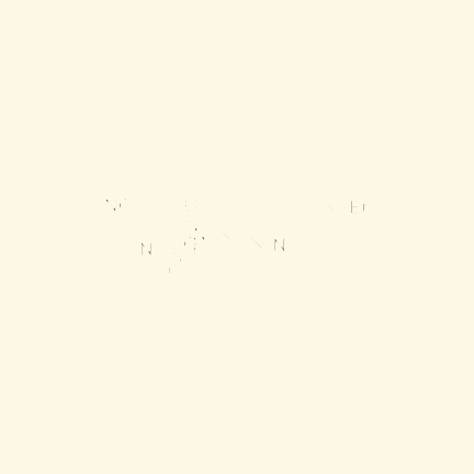 CCc1ccc(-c2cc3ccc(NC(=O)c4cc(C#N)cnc4S(C)(=O)=O)cc3cn2)cc1